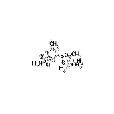 Cc1cc(B2OC(C)(C)C(C)(C)O2)cc(S(N)(=O)=O)c1